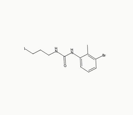 Cc1c(Br)cccc1NC(=O)NCCCI